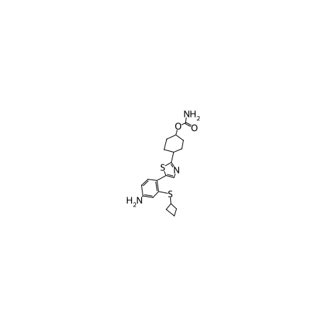 NC(=O)OC1CCC(c2ncc(-c3ccc(N)cc3SC3CCC3)s2)CC1